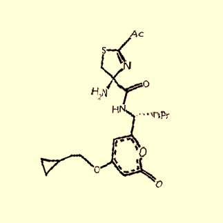 CCC[C@@H](NC(=O)[C@]1(N)CSC(C(C)=O)=N1)c1cc(OCC2CC2)cc(=O)o1